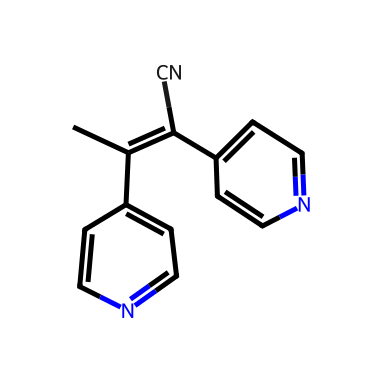 C/C(=C(\C#N)c1ccncc1)c1ccncc1